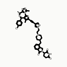 Cc1c(C#Cc2cnn(CCN3CCC(Cc4cccc5c4CN(C4CCC(=O)NC4=O)C5=O)CC3)c2)sc2c1C(c1ccc(Cl)cc1)=N[C@@H](C)c1nnc(C)n1-2